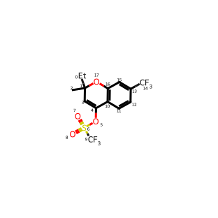 CCC1(C)C=C(OS(=O)(=O)C(F)(F)F)c2ccc(C(F)(F)F)cc2O1